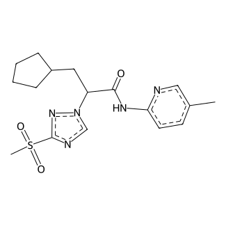 Cc1ccc(NC(=O)C(CC2CCCC2)n2cnc(S(C)(=O)=O)n2)nc1